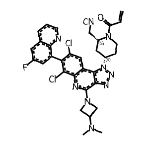 C=CC(=O)N1CC[C@H](n2nnc3c(N4CC(N(C)C)C4)nc4c(Cl)c(-c5cc(F)cc6cccnc56)c(Cl)cc4c32)C[C@H]1CC#N